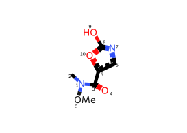 CON(C)C(=O)c1cnc(O)o1